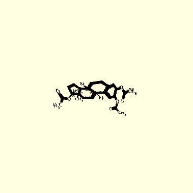 CC(=O)Oc1cc2c(cc1OC(C)=O)[C@H]1CC[C@]3(C)[C@@H](OC(C)=O)CC[C@H]3[C@@H]1CC2